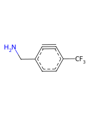 NCc1c#cc(C(F)(F)F)cc1